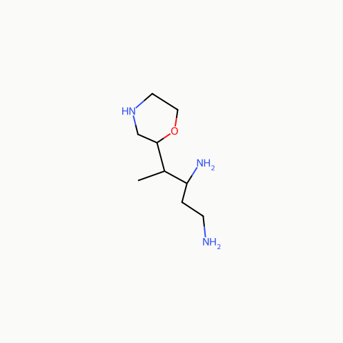 CC(C(N)CCN)C1CNCCO1